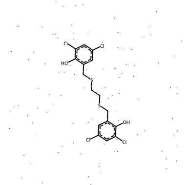 Oc1c(Cl)cc(Cl)cc1CSCCSCc1cc(Cl)cc(Cl)c1O